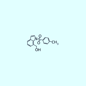 Cc1ccc(S(=O)(=O)n2ccc3cccc(CO)c32)cc1